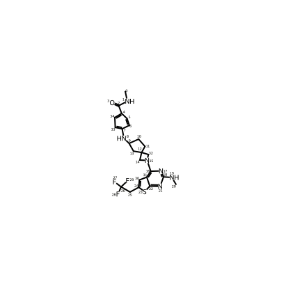 CNC(=O)c1ccc(NC2CCC3(C2)CN(c2nc(NC)nc4sc(CC(F)(F)F)cc24)C3)cc1